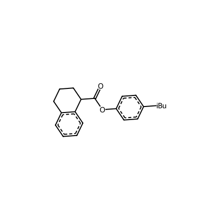 CCC(C)c1ccc(OC(=O)C2CCCc3ccccc32)cc1